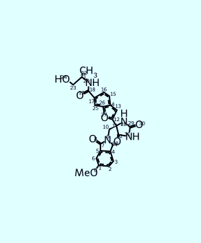 COc1ccc2c(c1)C(=O)N(C[C@@]1(c3cc4ccc(C(=O)N[C@@H](C)CO)cc4o3)NC(=O)NC1=O)C2